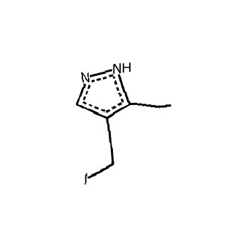 Cc1[nH]ncc1CI